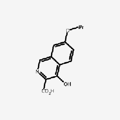 CC(C)Oc1ccc2c(O)c(C(=O)O)ncc2c1